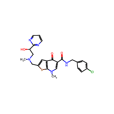 CN(Cc1cc2c(=O)c(C(=O)NCc3ccc(Cl)cc3)cn(C)c2s1)C[C@@H](O)c1ncccn1